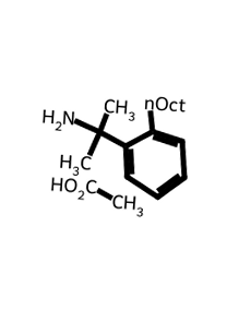 CC(=O)O.CCCCCCCCc1ccccc1C(C)(C)N